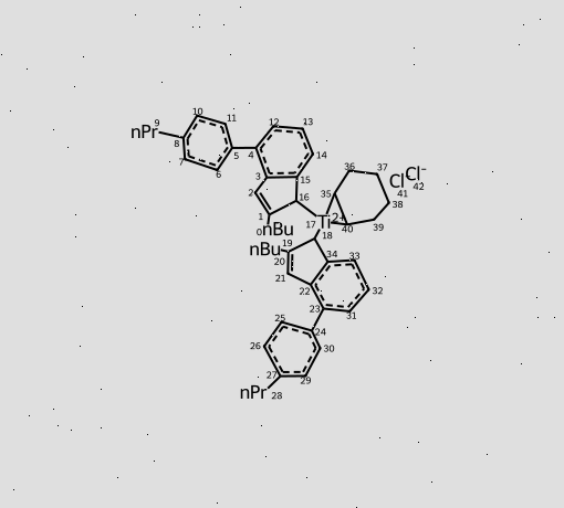 CCCCC1=Cc2c(-c3ccc(CCC)cc3)cccc2[CH]1[Ti+2]1([CH]2C(CCCC)=Cc3c(-c4ccc(CCC)cc4)cccc32)[CH]2CCCC[CH]21.[Cl-].[Cl-]